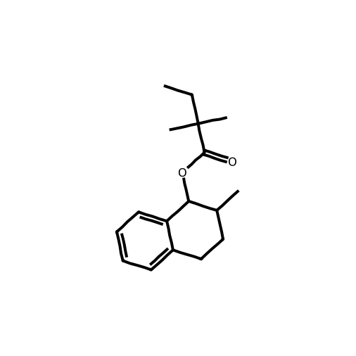 CCC(C)(C)C(=O)OC1c2ccccc2CCC1C